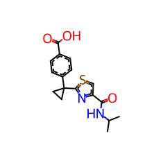 CC(C)NC(=O)c1csc(C2(c3ccc(C(=O)O)cc3)CC2)n1